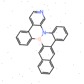 c1ccc2c(c1)B1c3cc4ccccc4cc3-c3ccccc3N1c1cnccc1-2